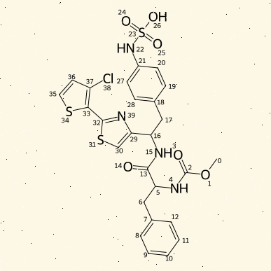 COC(=O)NC(Cc1ccccc1)C(=O)NC(Cc1ccc(NS(=O)(=O)O)cc1)c1csc(-c2sccc2Cl)n1